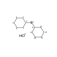 Cl.[B](C1CCCCC1)C1CCCCC1